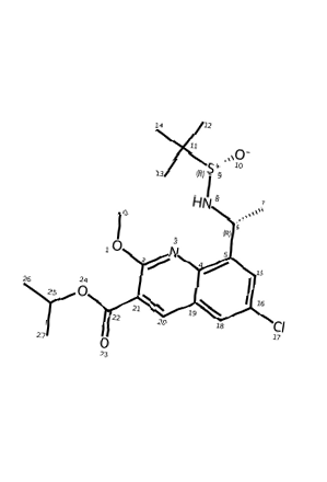 COc1nc2c([C@@H](C)N[S@@+]([O-])C(C)(C)C)cc(Cl)cc2cc1C(=O)OC(C)C